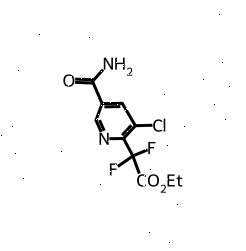 CCOC(=O)C(F)(F)c1ncc(C(N)=O)cc1Cl